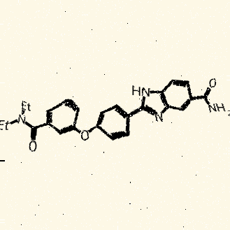 CCN(CC)C(=O)c1cccc(Oc2ccc(-c3nc4cc(C(N)=O)ccc4[nH]3)cc2)c1